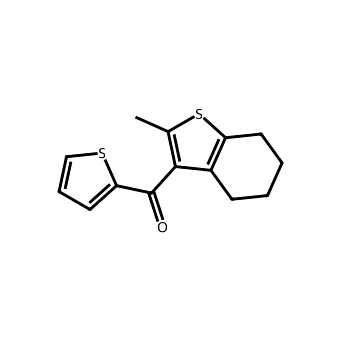 Cc1sc2c(c1C(=O)c1cccs1)CCCC2